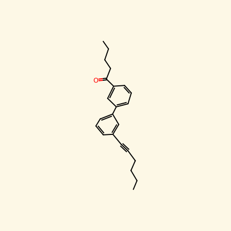 CCCCC#Cc1cccc(-c2cccc(C(=O)CCCC)c2)c1